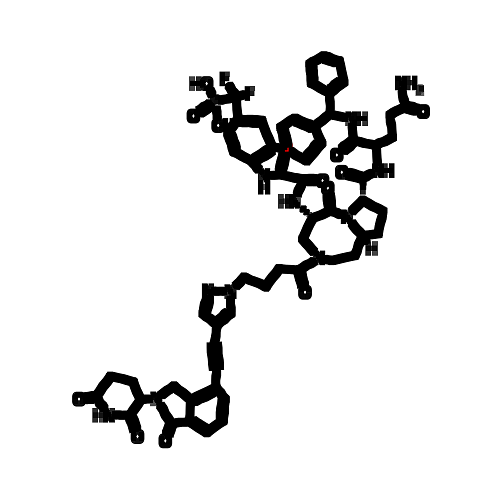 NC(=O)CCC(NC(=O)[C@@H]1CC[C@@H]2CCN(C(=O)CCCn3cc(C#Cc4cccc5c4CN(C4CCC(=O)NC4=O)C5=O)cn3)C[C@H](NC(=O)c3cc4cc(C(F)(F)P(=O)(O)O)ccc4[nH]3)C(=O)N21)C(=O)NC(c1ccccc1)c1ccccc1